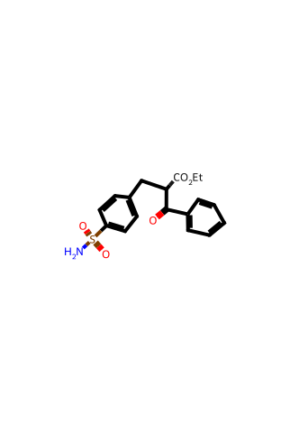 CCOC(=O)C(Cc1ccc(S(N)(=O)=O)cc1)C(=O)c1ccccc1